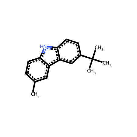 Cc1ccc2[nH]c3ccc(C(C)(C)C)cc3c2c1